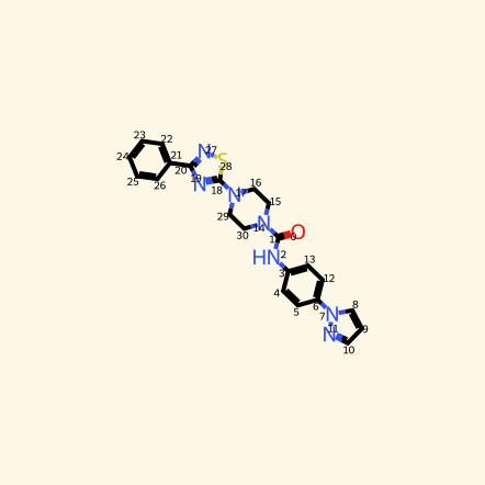 O=C(Nc1ccc(-n2cccn2)cc1)N1CCN(c2nc(-c3ccccc3)ns2)CC1